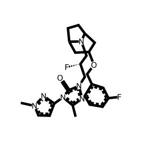 Cc1nn(C[C@H](F)CN2C3CCC2CC(OCc2cccc(F)c2)C3)c(=O)n1-c1ccn(C)n1